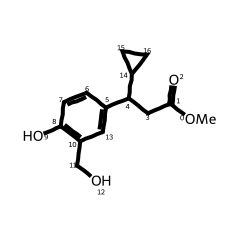 COC(=O)CC(c1ccc(O)c(CO)c1)C1CC1